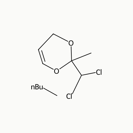 CC1(C(Cl)Cl)OC=CCO1.CCCCC